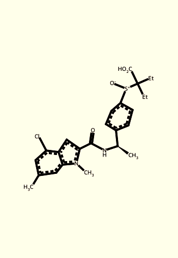 CCC(CC)(C(=O)O)[S+]([O-])c1ccc([C@@H](C)NC(=O)c2cc3c(Cl)cc(C)cc3n2C)cc1